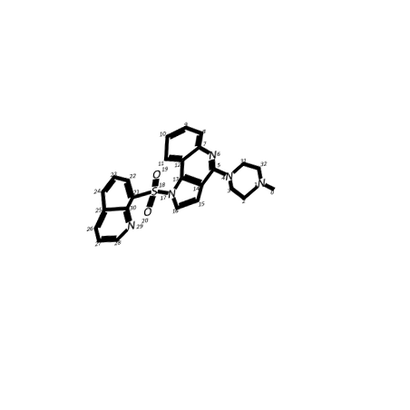 CN1CCN(c2nc3ccccc3c3c2ccn3S(=O)(=O)c2cccc3cccnc23)CC1